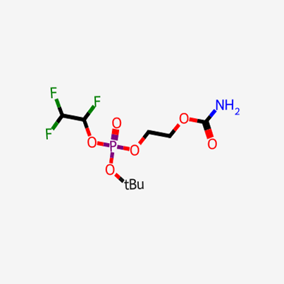 CC(C)(C)OP(=O)(OCCOC(N)=O)OC(F)C(F)F